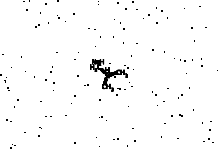 C[SiH](C)C.[NaH]